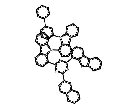 c1ccc(-c2cccc(-n3c4ccccc4c4cccc(-n5c6ccccc6c6cccc(-c7nc(-c8ccc9ccccc9c8)nc(-c8cccc9c8sc8ccccc89)n7)c65)c43)c2)cc1